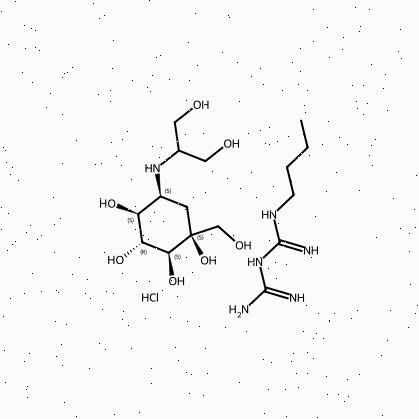 CCCCNC(=N)NC(=N)N.Cl.OCC(CO)N[C@H]1C[C@](O)(CO)[C@@H](O)[C@H](O)[C@H]1O